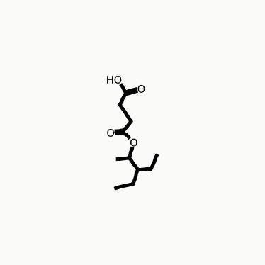 CCC(CC)C(C)OC(=O)CCC(=O)O